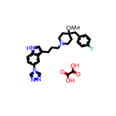 COC1(Cc2ccc(F)cc2)CCN(CCCc2c[nH]c3ccc(-n4cnnc4)cc23)CC1.O=C(O)C(=O)O